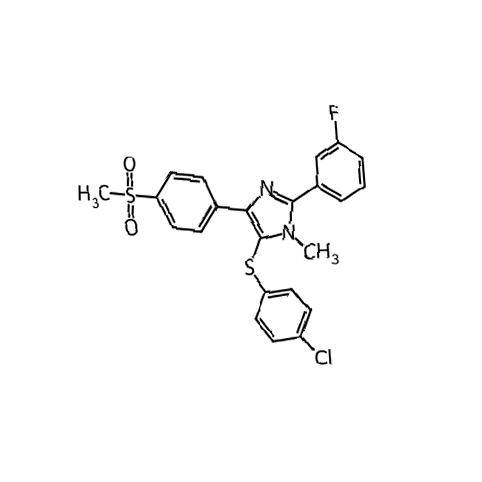 Cn1c(-c2cccc(F)c2)nc(-c2ccc(S(C)(=O)=O)cc2)c1Sc1ccc(Cl)cc1